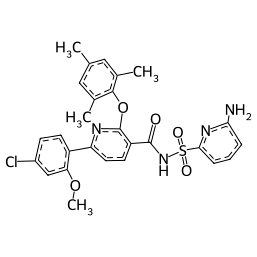 COc1cc(Cl)ccc1-c1ccc(C(=O)NS(=O)(=O)c2cccc(N)n2)c(Oc2c(C)cc(C)cc2C)n1